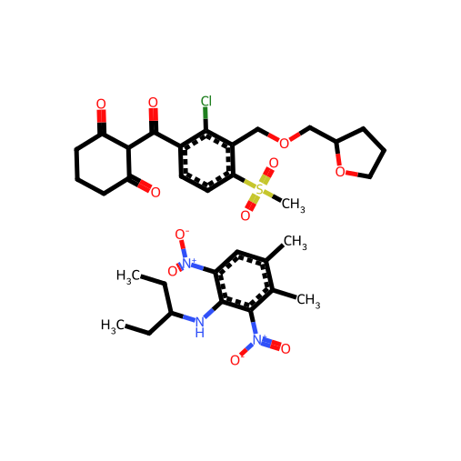 CCC(CC)Nc1c([N+](=O)[O-])cc(C)c(C)c1[N+](=O)[O-].CS(=O)(=O)c1ccc(C(=O)C2C(=O)CCCC2=O)c(Cl)c1COCC1CCCO1